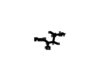 CCCC(C)C(CC)C(C)N(C)CCC